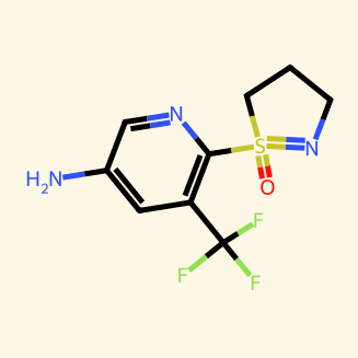 Nc1cnc(S2(=O)=NCCC2)c(C(F)(F)F)c1